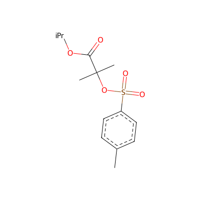 Cc1ccc(S(=O)(=O)OC(C)(C)C(=O)OC(C)C)cc1